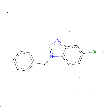 Brc1ccc2c(c1)ncn2Cc1ccccc1